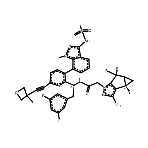 Cn1nc(NS(C)(=O)=O)c2cccc(-c3ccc(C#CC4(C)COC4)nc3[C@H](Cc3cc(F)cc(F)c3)NC(=O)Cn3nc(C(F)(F)F)c4c3C(F)(F)C3C[C@H]43)c21